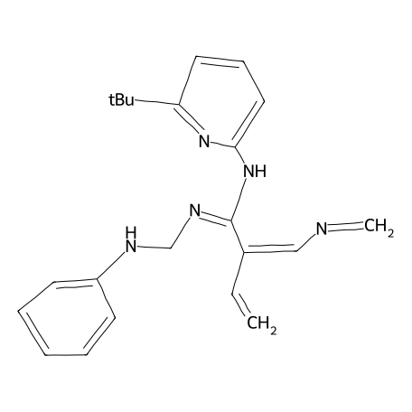 C=CC(=C/N=C)/C(=N\CNc1ccccc1)Nc1cccc(C(C)(C)C)n1